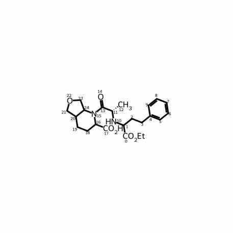 CCOC(=O)C(CCc1ccccc1)N[C@@H](C)C(=O)N1C(C(=O)O)CCC2COCC21